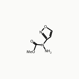 COC(=O)N(N)c1ccon1